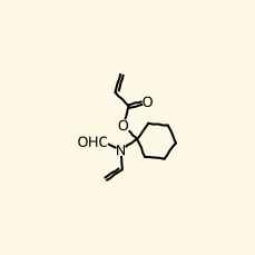 C=CC(=O)OC1(N(C=C)C=O)CCCCC1